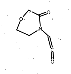 O=C=CN1CCOCC1=O